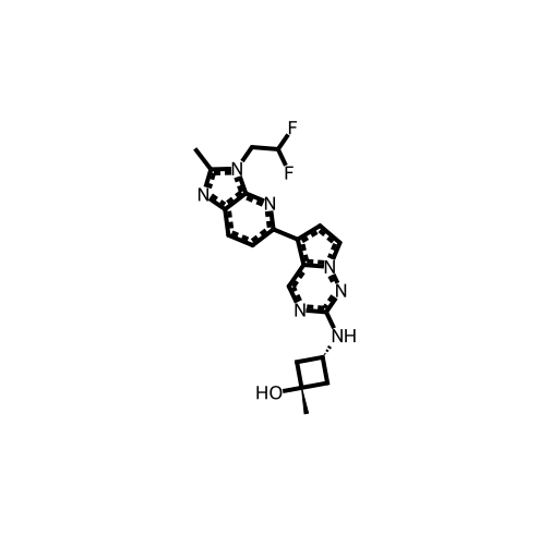 Cc1nc2ccc(-c3ccn4nc(N[C@H]5C[C@@](C)(O)C5)ncc34)nc2n1CC(F)F